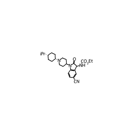 CCOC(=O)NC1C(=O)N(C2CCN([C@H]3CC[C@@H](C(C)C)CC3)CC2)c2ccc(C#N)cc21